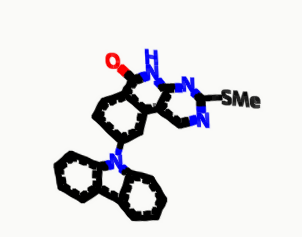 CSc1ncc2c(n1)[nH]c(=O)c1ccc(-n3c4ccccc4c4ccccc43)cc12